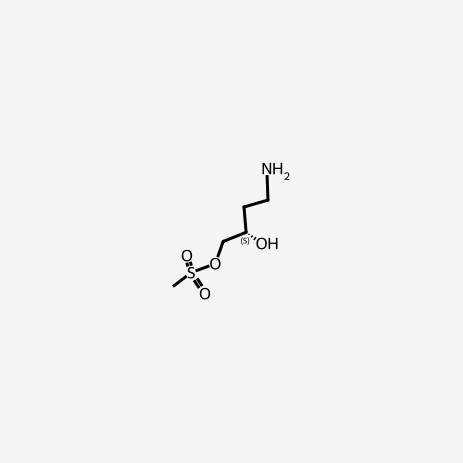 CS(=O)(=O)OC[C@@H](O)CCN